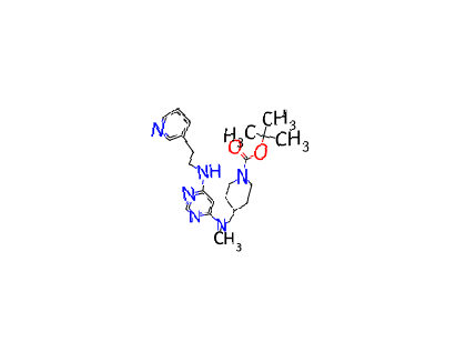 CN(CC1CCN(C(=O)OC(C)(C)C)CC1)c1cc(NCCc2cccnc2)ncn1